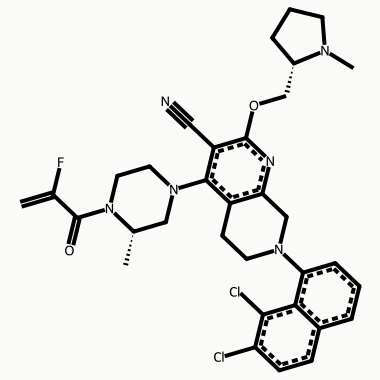 C=C(F)C(=O)N1CCN(c2c(C#N)c(OC[C@@H]3CCCN3C)nc3c2CCN(c2cccc4ccc(Cl)c(Cl)c24)C3)C[C@@H]1C